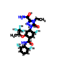 CCn1c(C(N)=O)nn(-c2cc(O[C@@H](C)C(F)(F)F)c(C(=O)Nc3c(F)cccc3F)cc2F)c1=O